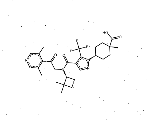 Cc1cncc(C)c1C(=O)CN(C(=O)c1cnn([C@H]2CC[C@](C)(C(=O)O)CC2)c1C(F)(F)F)[C@H]1CCC1(C)C